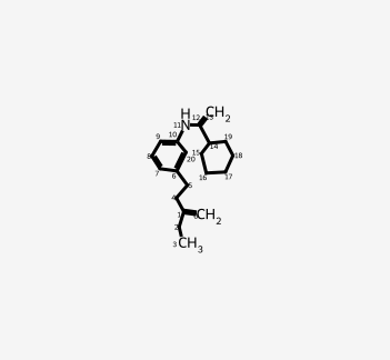 C=C(CC)CCc1cccc(NC(=C)C2CCCCC2)c1